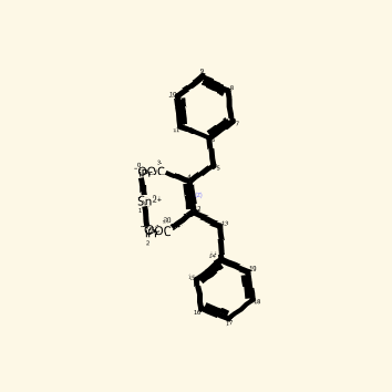 C[CH](C)[Sn+2][CH](C)C.O=C([O-])/C(Cc1ccccc1)=C(/Cc1ccccc1)C(=O)[O-]